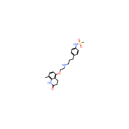 Cc1ccc(OCCNCCCc2ccc(NS(C)(=O)=O)cc2)c2c1NC(=O)CC2